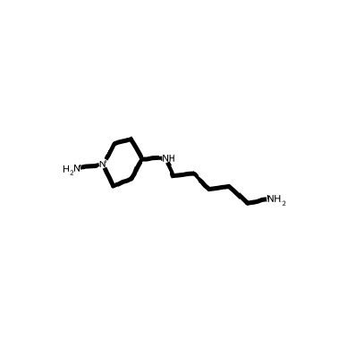 NCCCCCNC1CCN(N)CC1